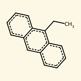 CCc1c2ccccc2[c]c2ccccc12